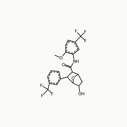 COc1ccc(C(F)(F)F)cc1NC(=O)C1C2CC(O)C(O2)C1c1cccc(C(F)(F)F)c1